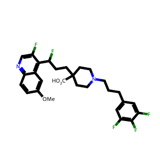 COc1ccc2ncc(F)c(C(F)CCC3(C(=O)O)CCN(CCCc4cc(F)c(F)c(F)c4)CC3)c2c1